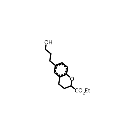 CCOC(=O)C1CCc2cc(CCCO)ccc2O1